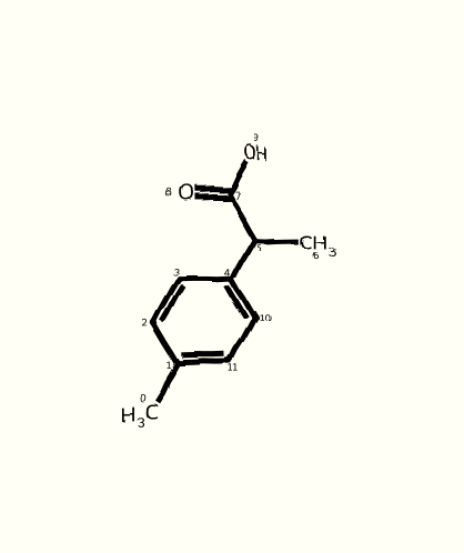 Cc1ccc(C(C)C(=O)O)cc1